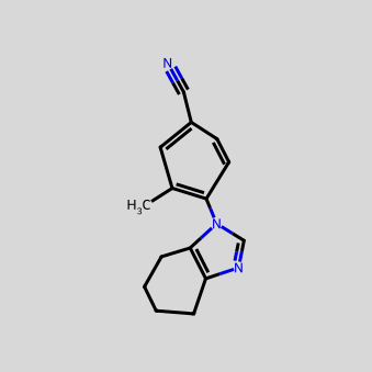 Cc1cc(C#N)ccc1-n1cnc2c1CCCC2